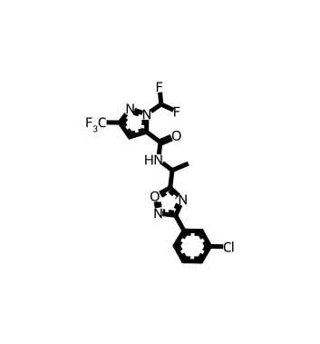 CC(NC(=O)c1cc(C(F)(F)F)nn1C(F)F)c1nc(-c2cccc(Cl)c2)no1